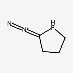 [N-]=[N+]=C1CCCP1